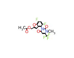 CC(=O)OCc1cc2c(-n3c(=O)cc(C(F)(F)F)n(C)c3=O)c(F)cc(F)c2o1